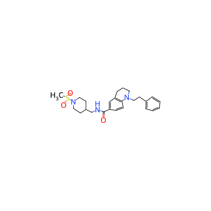 CS(=O)(=O)N1CCC(CNC(=O)c2ccc3c(c2)CCCN3CCc2ccccc2)CC1